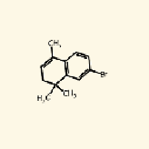 CC1=CCC(C)(C)c2cc(Br)ccc21